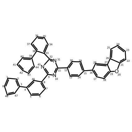 c1ccc(-c2cccc(-c3nc(-c4ccc(-c5ccc6oc7ccccc7c6c5)cc4)nc(-c4ccccc4-c4ccccc4)n3)c2)cc1